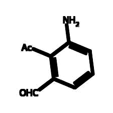 CC(=O)c1c(N)cccc1C=O